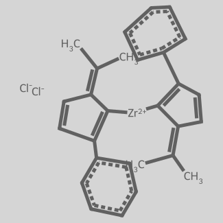 CC(C)=C1C=CC(c2ccccc2)=[C]1[Zr+2][C]1=C(c2ccccc2)C=CC1=C(C)C.[Cl-].[Cl-]